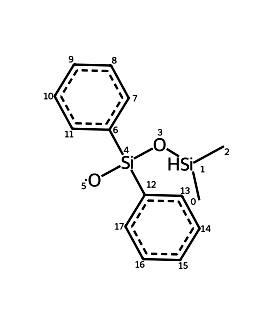 C[SiH](C)O[Si]([O])(c1ccccc1)c1ccccc1